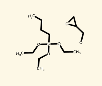 CCCC[Si](OCC)(OCC)OCC.[O]CC1CO1